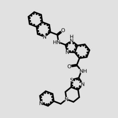 O=C(Nc1nc2c(C(=O)Nc3nc4c(s3)CN(Cc3cccnc3)CC4)cccc2[nH]1)c1cc2ccccc2cn1